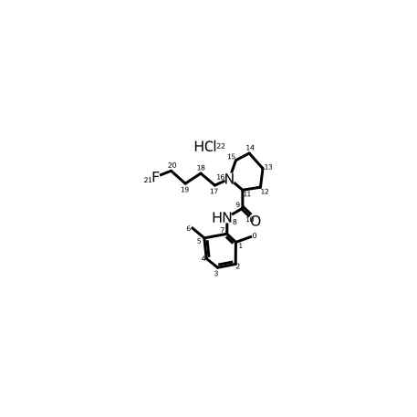 Cc1cccc(C)c1NC(=O)C1CCCCN1CCCCF.Cl